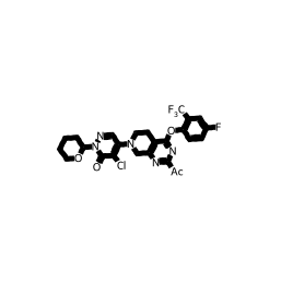 CC(=O)c1nc2c(c(Oc3ccc(F)cc3C(F)(F)F)n1)CCN(c1cnn(C3CCCCO3)c(=O)c1Cl)C2